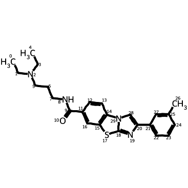 CCN(CC)CCCNC(=O)c1ccc2c(c1)sc1nc(-c3cccc(C)c3)cn12